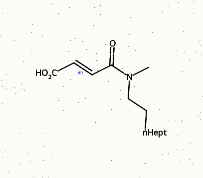 CCCCCCCCCN(C)C(=O)/C=C/C(=O)O